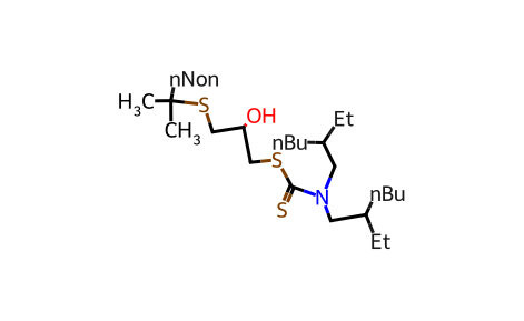 CCCCCCCCCC(C)(C)SCC(O)CSC(=S)N(CC(CC)CCCC)CC(CC)CCCC